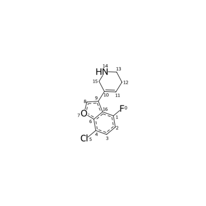 Fc1ccc(Cl)c2occ(C3=CCCNC3)c12